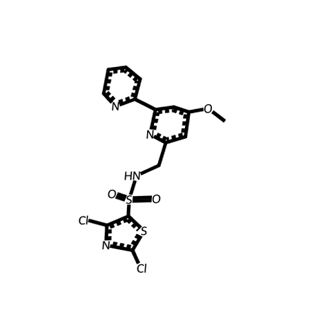 COc1cc(CNS(=O)(=O)c2sc(Cl)nc2Cl)nc(-c2ccccn2)c1